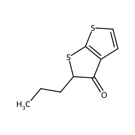 CCCC1Sc2sccc2C1=O